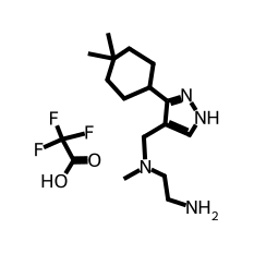 CN(CCN)Cc1c[nH]nc1C1CCC(C)(C)CC1.O=C(O)C(F)(F)F